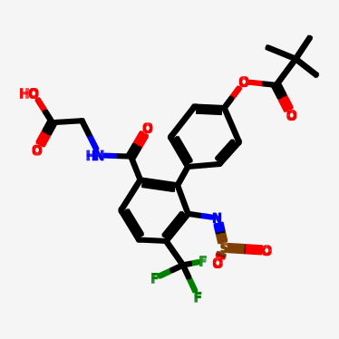 CC(C)(C)C(=O)Oc1ccc(-c2c(C(=O)NCC(=O)O)ccc(C(F)(F)F)c2N=S(=O)=O)cc1